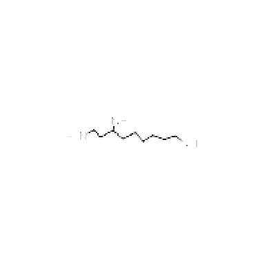 NCCCCCCC(N)CCN